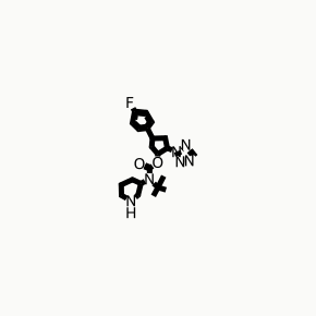 CC(C)(C)N(C(=O)OC1CC(c2ccc(F)cc2)CC1n1ncnn1)C1CCCNC1